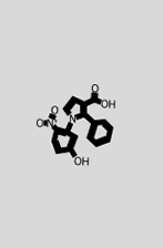 O=C(O)c1ccn(-c2cc(O)ccc2[N+](=O)[O-])c1-c1ccccc1